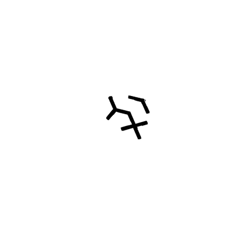 CC(C)CC(C)(C)C.C[CH]C